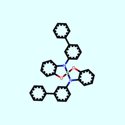 c1ccc(-c2cccc(N3c4ccccc4O[Si]34Oc3ccccc3N4c3cccc(-c4ccccc4)c3)c2)cc1